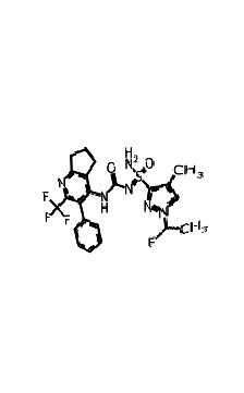 Cc1cn(C(C)F)nc1S(N)(=O)=NC(=O)Nc1c2c(nc(C(F)(F)F)c1-c1ccccc1)CCC2